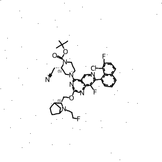 CC(C)(C)OC(=O)N1CCN(c2nc(OC[C@@H]3C4CCC(C4)N3CCF)nc3c(F)c(-c4cccc5ccc(F)c(Cl)c45)ncc23)C[C@@H]1CC#N